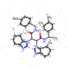 CC(NC(=O)C(C(C(=O)N[C@@H](C)c1ccc(C(C)(C)C)cc1)n1cnc2ccc(F)c(F)c21)n1cnc2cccc(C#N)c21)c1ccc(C(C)(C)C)cc1